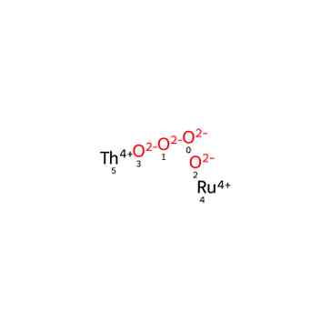 [O-2].[O-2].[O-2].[O-2].[Ru+4].[Th+4]